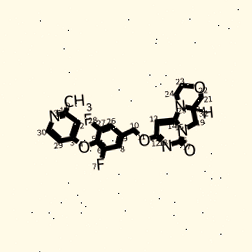 Cc1cc(Oc2c(F)cc(COc3cc4n(c(=O)n3)C[C@H]3COCCN43)cc2F)ccn1